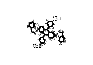 CC(C)(C)c1ccc(-c2c3ccc(N4CCc5ccccc54)cc3c(-c3ccc(C(C)(C)C)cc3)c3ccc(N4CCc5ccccc54)cc23)cc1